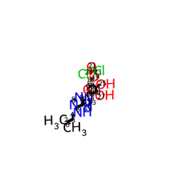 CC(C)=CCNc1ncnc2c1ncn2[C@@H]1O[C@H](COP(=O)(Cl)Cl)C(O)[C@@H]1O